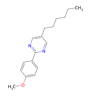 CCCCCCc1cnc(-c2ccc(OC)cc2)nc1